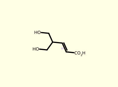 O=C(O)/C=C/C(CO)CO